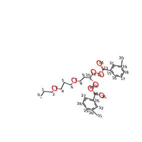 [CH2]CCOCCCOCC[C](OOC(=O)c1cccc(C)c1)OOC(=O)c1cccc(C)c1